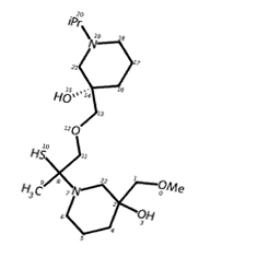 COCC1(O)CCCN(C(C)(S)COC[C@]2(O)CCCN(C(C)C)C2)C1